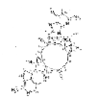 Nc1nc2c(ncn2[C@@H]2[C@H]3C[C@@]45CO[PH](=O)O[C@H]6[C@@H](O)[C@H](n7cnc8c(N)ncnc87)[C@H]7C[C@]76COP(=O)(O)O[C@@H]2[C@]4(O)[C@@H]35)c(=O)[nH]1